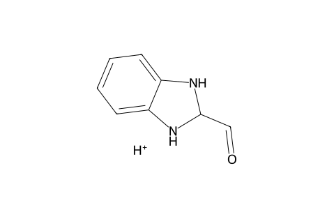 O=CC1Nc2ccccc2N1.[H+]